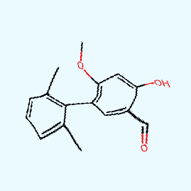 COc1cc(O)c(C=O)cc1-c1c(C)cccc1C